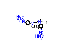 CN(CCCN(C)c1ccc(N=Nc2ncn[nH]2)cc1)c1ccc(N=Nc2ncn[nH]2)cc1